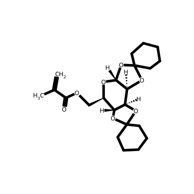 C=C(C)C(=O)OC[C@H]1O[C@@H]2OC3(CCCCC3)O[C@H]2[C@H]2OC3(CCCCC3)O[C@@H]21